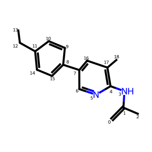 C=C(C)Nc1ncc(-c2ccc(CC)cc2)cc1C